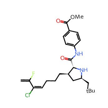 C=C(F)/C(Cl)=C\CCC[C@@H]1C[C@H](CC(C)(C)C)N[C@H]1C(=O)Nc1ccc(C(=O)OC)cc1